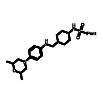 CCCC(C)S(=O)(=O)NC1CCC(CNc2ccc(N3CC(C)OC(C)C3)cc2)CC1